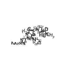 CNc1ncc(-c2nc(N3CCOCC3)c3sc(CN4CCN(C(=O)[C@H](C)O)CC4)c(C)c3n2)cn1